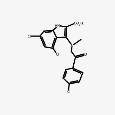 CN(CC(=O)c1ccc(Cl)cc1)c1c(C(=O)O)[nH]c2cc(Cl)cc(Cl)c12